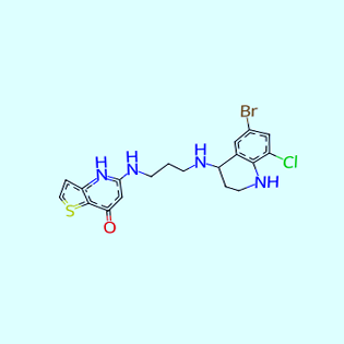 O=c1cc(NCCCNC2CCNc3c(Cl)cc(Br)cc32)[nH]c2ccsc12